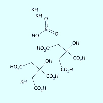 O=C(O)CC(O)(CC(=O)O)C(=O)O.O=C(O)CC(O)(CC(=O)O)C(=O)O.[KH].[KH].[KH].[O]=[Bi](=[O])[OH]